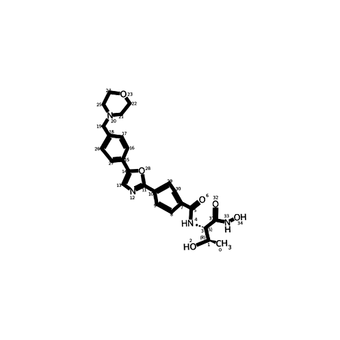 C[C@@H](O)[C@H](NC(=O)c1ccc(-c2ncc(-c3ccc(CN4CCOCC4)cc3)o2)cc1)C(=O)NO